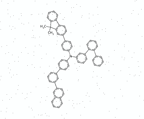 CC1(C)c2ccccc2-c2ccc(-c3ccc(N(c4ccc(-c5cccc(-c6ccc7ccccc7c6)c5)cc4)c4cccc(-c5ccccc5-c5ccccc5)c4)cc3)cc21